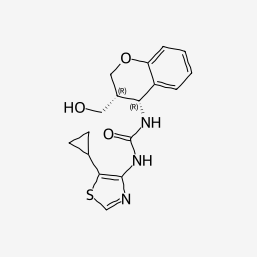 O=C(Nc1ncsc1C1CC1)N[C@H]1c2ccccc2OC[C@H]1CO